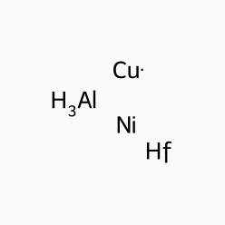 [AlH3].[Cu].[Hf].[Ni]